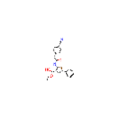 CCOC(O)c1cc(-c2ccccc2)sc1NC(=O)Cc1ccc(C#N)cc1